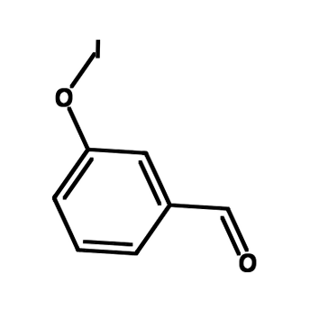 O=Cc1cccc(OI)c1